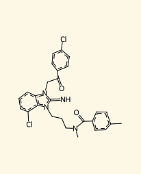 Cc1ccc(C(=O)N(C)CCCn2c(=N)n(CC(=O)c3ccc(Cl)cc3)c3cccc(Cl)c32)cc1